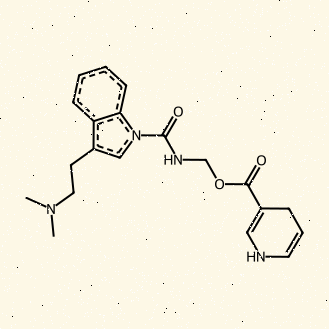 CN(C)CCc1cn(C(=O)NCOC(=O)C2=CNC=CC2)c2ccccc12